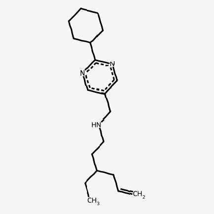 C=CCC(CC)CCNCc1cnc(C2CCCCC2)nc1